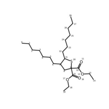 CCCCCCCC1CC(C(=O)OCC)(C(=O)OCC)SC1CCCCCCC